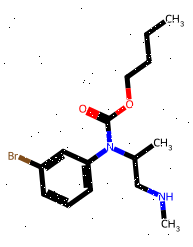 CCCCOC(=O)N(c1cccc(Br)c1)C(C)CNC